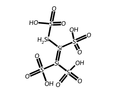 O=S(=O)(O)[SiH2][Si](=[Si](S(=O)(=O)O)S(=O)(=O)O)S(=O)(=O)O